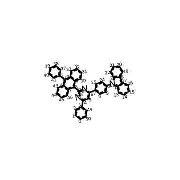 c1ccc(-c2cc(-c3ccc(-n4c5ccccc5c5ccccc54)cc3)nc(-c3c4ccccc4c(-c4ccccc4)c4ccccc34)n2)cc1